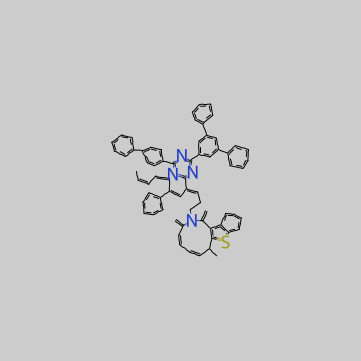 C=C1/C=C\C=C/C(C)c2sc3ccccc3c2C(=C)N1CC\C=C(/C=C(\C=C/C=C\C)c1ccccc1)c1nc(-c2ccc(-c3ccccc3)cc2)nc(-c2cc(-c3ccccc3)cc(-c3ccccc3)c2)n1